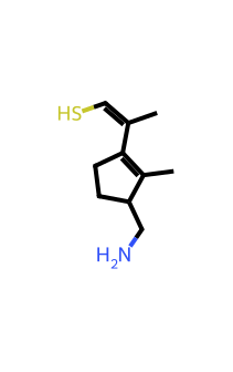 CC1=C(/C(C)=C\S)CCC1CN